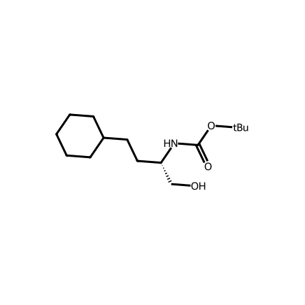 CC(C)(C)OC(=O)N[C@H](CO)CCC1CCCCC1